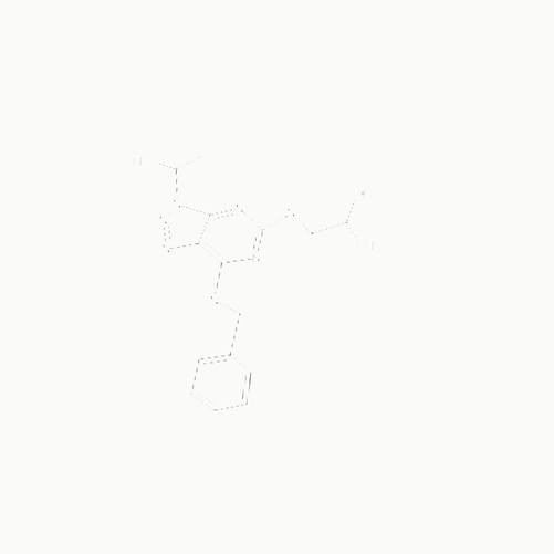 CC(O)CNc1nc(NCc2ccccc2)c2nnn(C(C)C)c2n1